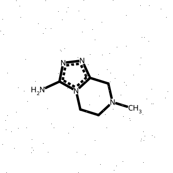 CN1CCn2c(N)nnc2C1